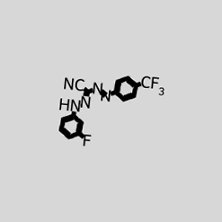 N#CC(N=Nc1ccc(C(F)(F)F)cc1)=NNc1cccc(F)c1